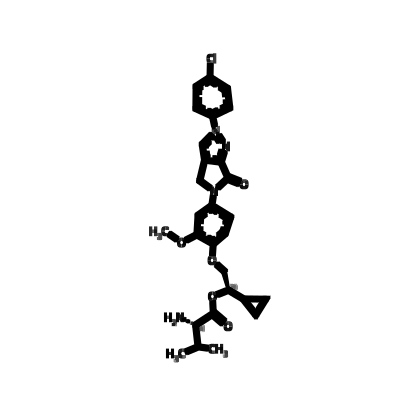 COc1cc(N2Cc3cn(-c4ccc(Cl)cc4)nc3C2=O)ccc1OC[C@H](OC(=O)[C@@H](N)C(C)C)C1CC1